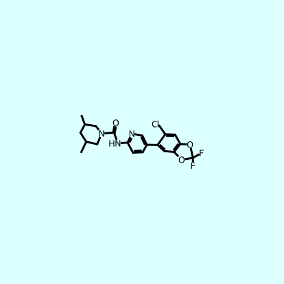 CC1CC(C)CN(C(=O)Nc2ccc(-c3cc4c(cc3Cl)OC(F)(F)O4)cn2)C1